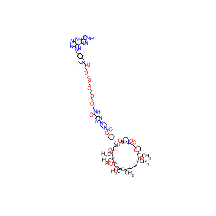 CO[C@H]1CC2CCCC(O2)C(=O)C(=O)N2CCCC[C@H]2C(=O)O[C@H](CC[C@H]2CC[C@H](OC(=O)N3CCN(c4ncc(C(=O)NCCOCCOCCOCCOCCOCCC(=O)N5CCc6cc(Cn7nc(-c8cnc9[nH]ccc9c8)c8c(N)ncnc87)ccc6C5)cn4)CC3)CC2)CC(=O)[C@H](C)/C=C(\C)[C@@H](O)CC(=O)[C@H](C)C[C@H](C)/C=C/C=C/C=C/1C